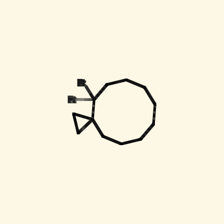 CCC1(CC)CCCCCCCCC12CC2